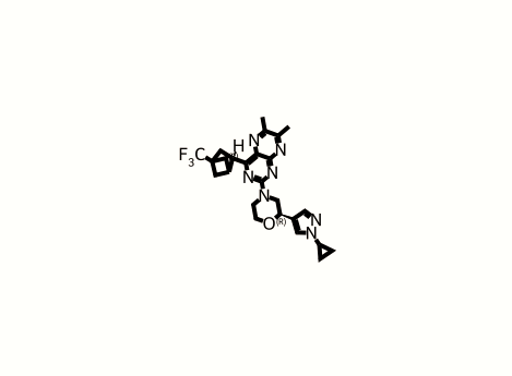 Cc1nc2nc(N3CCO[C@H](c4cnn(C5CC5)c4)C3)nc([C@@H]3CC4(C(F)(F)F)CC3C4)c2nc1C